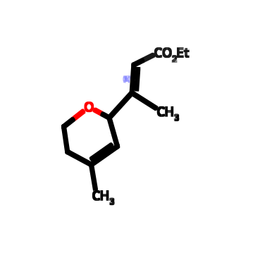 CCOC(=O)/C=C(\C)C1C=C(C)CCO1